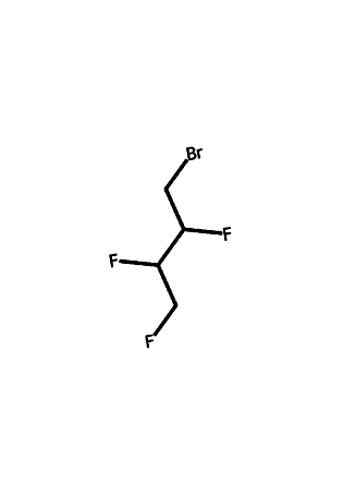 FCC(F)C(F)CBr